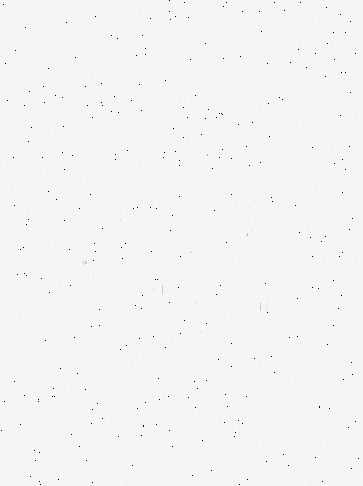 CCS(=O)(=O)c1cc(O[C@@H](C)C(=O)O)c(-c2ccccc2Cl)cc1Cl